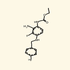 CCOC(=O)Nc1ccc(NCc2ccc([18F])cc2)c(F)c1N